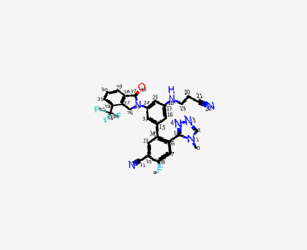 Cn1cnnc1-c1cc(F)c(C#N)cc1-c1cc(NCCC#N)cc(N2Cc3c(cccc3C(F)(F)F)C2=O)c1